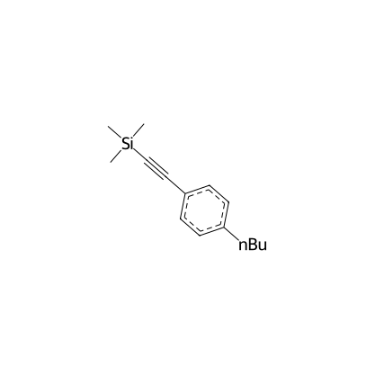 CCCCc1ccc(C#C[Si](C)(C)C)cc1